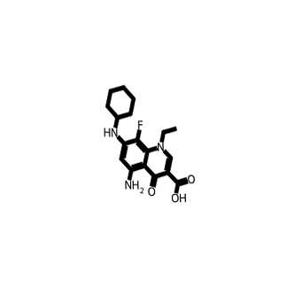 CCn1cc(C(=O)O)c(=O)c2c(N)cc(NC3CCCCC3)c(F)c21